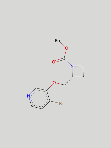 CC(C)(C)OC(=O)N1CC[C@@H]1COc1cnccc1Br